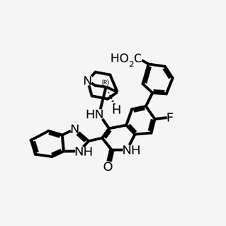 O=C(O)c1cccc(-c2cc3c(N[C@H]4CN5CCC4CC5)c(-c4nc5ccccc5[nH]4)c(=O)[nH]c3cc2F)c1